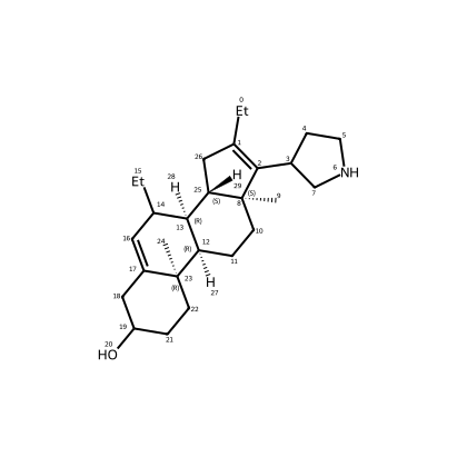 CCC1=C(C2CCNC2)[C@@]2(C)CC[C@@H]3[C@@H](C(CC)C=C4CC(O)CC[C@@]43C)[C@@H]2C1